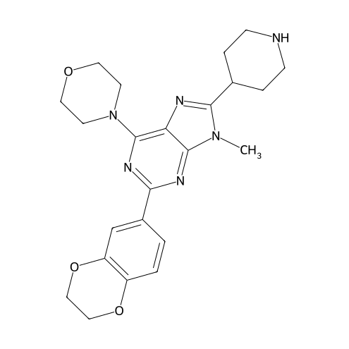 Cn1c(C2CCNCC2)nc2c(N3CCOCC3)nc(-c3ccc4c(c3)OCCO4)nc21